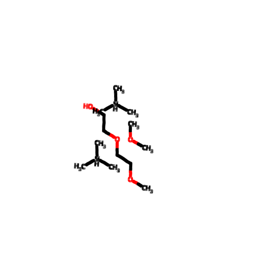 COC.COCCOCCO.C[SiH](C)C.C[SiH](C)C